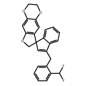 FC(F)c1ccccc1CC1=CC2(COc3cc4c(cc32)OCCO4)c2ccccc21